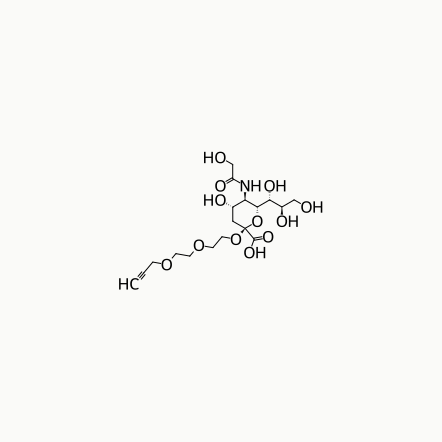 C#CCOCCOCCO[C@@]1(C(=O)O)C[C@H](O)[C@@H](NC(=O)CO)[C@H]([C@H](O)[C@H](O)CO)O1